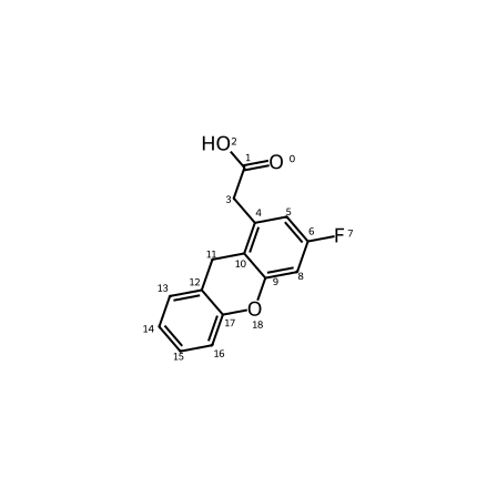 O=C(O)Cc1cc(F)cc2c1Cc1ccccc1O2